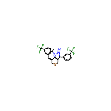 CC(C)N1NC(c2cccc(C(F)(F)F)c2)C2=C1/C(=C\c1cccc(C(F)(F)F)c1)CSC2